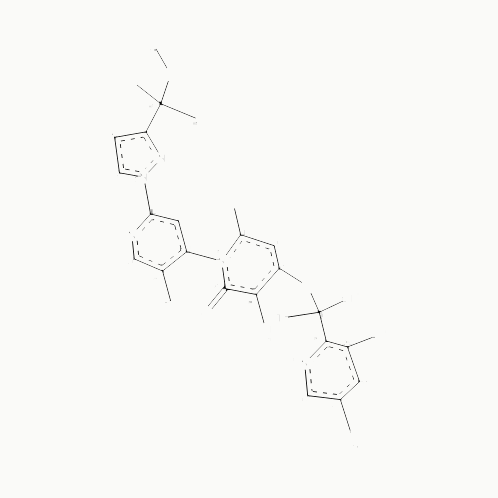 [2H]C([2H])(Oc1cc(C)n(-c2cc(-n3ccc(C(C)(C)OC)n3)ncc2C)c(=O)c1Cl)c1ncc(F)cc1F